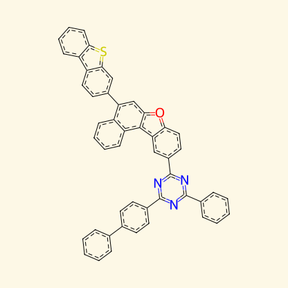 c1ccc(-c2ccc(-c3nc(-c4ccccc4)nc(-c4ccc5oc6cc(-c7ccc8c(c7)sc7ccccc78)c7ccccc7c6c5c4)n3)cc2)cc1